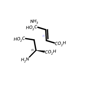 N.N[C@@H](CC(=O)O)C(=O)O.O=C(O)/C=C/C(=O)O